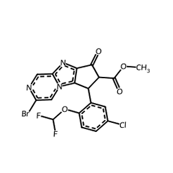 COC(=O)C1C(=O)c2nc3cnc(Br)cn3c2C1c1cc(Cl)ccc1OC(F)F